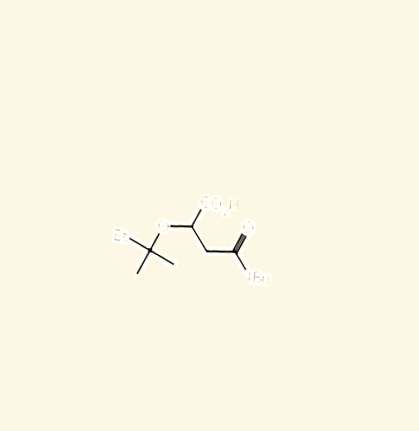 CCC(C)(C)OC(CC(=O)C(C)(C)C)C(=O)O